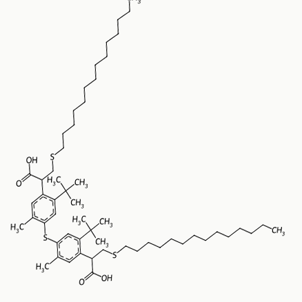 CCCCCCCCCCCCCCSCC(C(=O)O)c1cc(C)c(Sc2cc(C(C)(C)C)c(C(CSCCCCCCCCCCCCCC)C(=O)O)cc2C)cc1C(C)(C)C